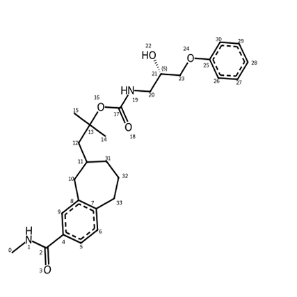 CNC(=O)c1ccc2c(c1)CC(CC(C)(C)OC(=O)NC[C@H](O)COc1ccccc1)CCC2